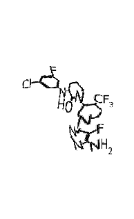 Nc1ncnc(N2CCC(C(F)(F)F)[C@H](N3CCC[C@@H](Nc4cc(F)cc(Cl)c4)C3=O)C2)c1F